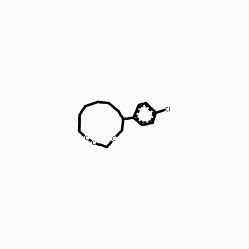 Clc1ccc(C2CCCCCCCCCCC2)cc1